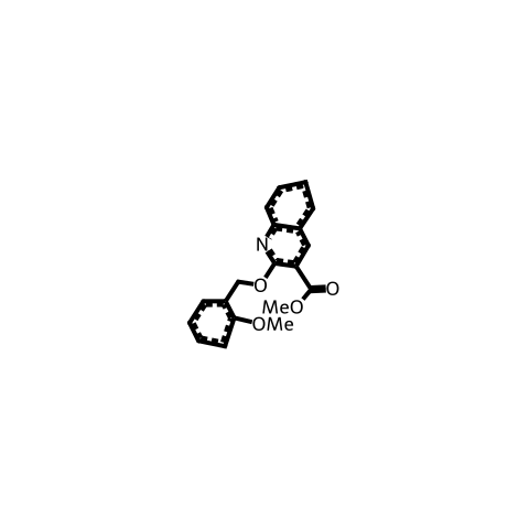 COC(=O)c1cc2ccccc2nc1OCc1ccccc1OC